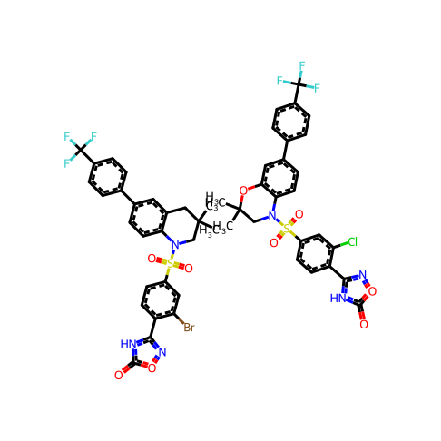 CC1(C)CN(S(=O)(=O)c2ccc(-c3noc(=O)[nH]3)c(Cl)c2)c2ccc(-c3ccc(C(F)(F)F)cc3)cc2O1.CC1(C)Cc2cc(-c3ccc(C(F)(F)F)cc3)ccc2N(S(=O)(=O)c2ccc(-c3noc(=O)[nH]3)c(Br)c2)C1